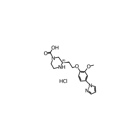 COc1cc(-n2cccn2)ccc1OCC[C@@H]1CN(C(=O)O)CCN1.Cl